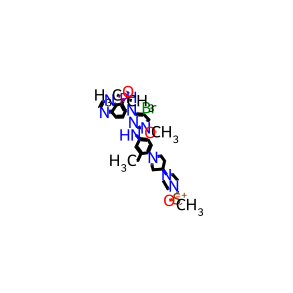 CCc1cc(Nc2ncc(Br)c(Nc3ccc4nccnc4c3P(C)(C)=O)n2)c(OC)cc1N1CCC(N2CCN(C[S+](C)[O-])CC2)CC1